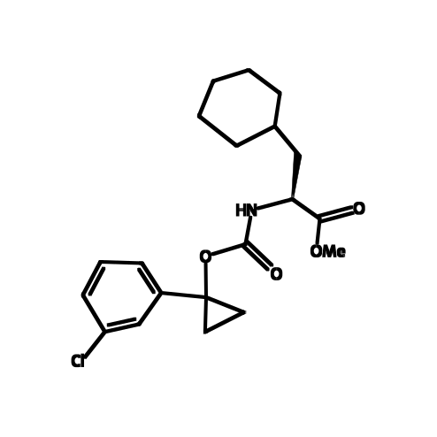 COC(=O)[C@H](CC1CCCCC1)NC(=O)OC1(c2cccc(Cl)c2)CC1